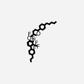 CCCCCC1CCC(C2CCC(C(F)(F)Oc3ccc(C4CCC(CCC)CC4)c(C(F)(F)F)c3F)CO2)CC1